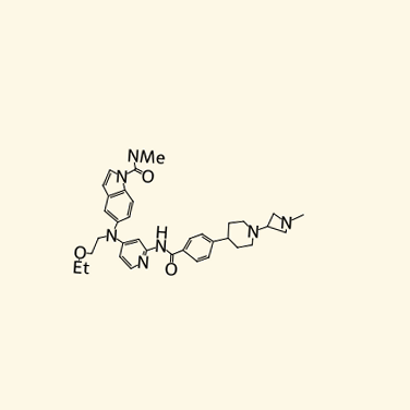 CCOCCN(c1ccnc(NC(=O)c2ccc(C3CCN(C4CN(C)C4)CC3)cc2)c1)c1ccc2c(ccn2C(=O)NC)c1